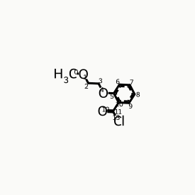 COCCOc1ccccc1C(=O)Cl